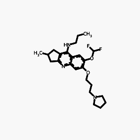 CCCNc1c2c(nc3cc(OCCCN4CCCC4)c(OC(F)F)cc13)CC(C)C2